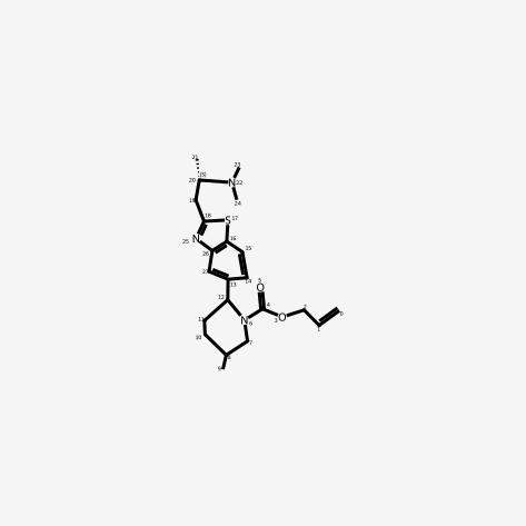 C=CCOC(=O)N1CC(C)CCC1c1ccc2sc(C[C@H](C)N(C)C)nc2c1